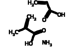 C=C(C)C(=O)O.C=CC(=O)O.N